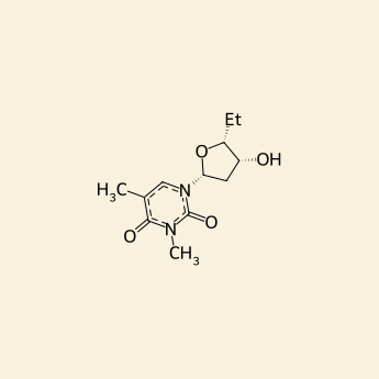 CC[C@H]1O[C@@H](n2cc(C)c(=O)n(C)c2=O)C[C@H]1O